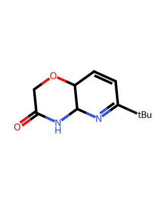 CC(C)(C)C1=NC2NC(=O)COC2C=C1